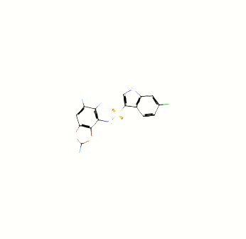 O=S(=O)(Nc1c(F)c(F)cc2c1OC(F)O2)c1c[nH]c2cc(Cl)ccc12